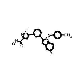 Cc1ccc(Sn2c(-c3cccc(-c4cc(C(=O)N=O)n[nH]4)c3)cc3cc(F)ccc32)cc1